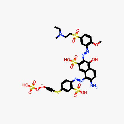 CCN(C)CCS(=O)(=O)c1ccc(OC)c(N=Nc2c(S(=O)(=O)O)cc3c(N=Nc4ccc(SC#COOS(=O)(=O)O)cc4S(=O)(=O)O)c(N)ccc3c2O)c1